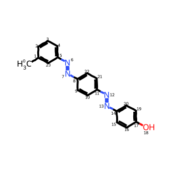 Cc1cccc(N=Nc2ccc(N=Nc3ccc(O)cc3)cc2)c1